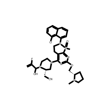 C=C(F)C(O)N1CCN(c2nc(OC[C@@H]3CCCN3C)nc3c2CCN(c2cccc4cccc(Cl)c24)P3(C)=O)C[C@@H]1CC#N